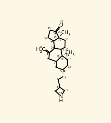 C=C1CC2C[C@@H](CCC3CNC3)CC[C@]2(C)C2CC[C@]3(C)C(=O)CCC3C12